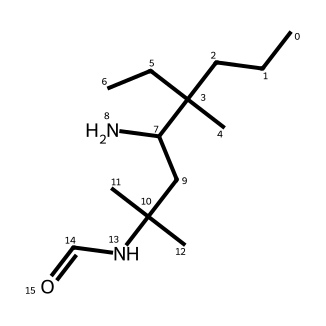 CCCC(C)(CC)C(N)CC(C)(C)NC=O